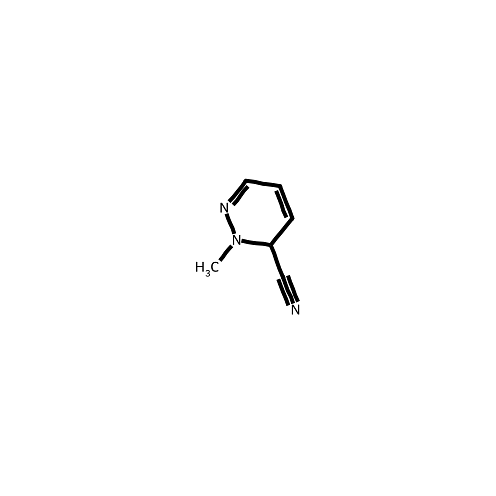 CN1N=CC=CC1C#N